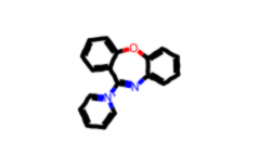 c1cc[n+](C2=Nc3ccccc3Oc3ccccc32)cc1